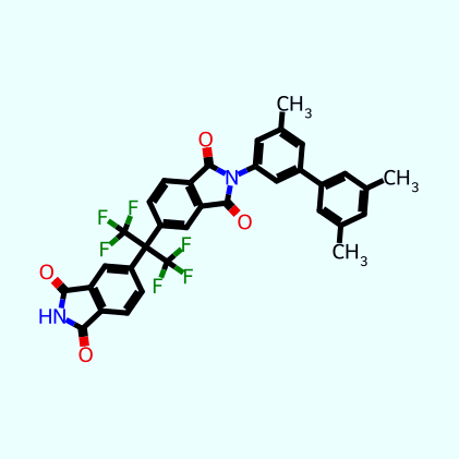 Cc1cc(C)cc(-c2cc(C)cc(N3C(=O)c4ccc(C(c5ccc6c(c5)C(=O)NC6=O)(C(F)(F)F)C(F)(F)F)cc4C3=O)c2)c1